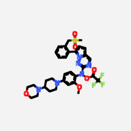 COc1cc(N2CCC(N3CCOCC3)CC2)ccc1N(OC(=O)C(F)(F)F)c1ncc2ccc(-c3ccccc3CS(C)(=O)=O)n2n1